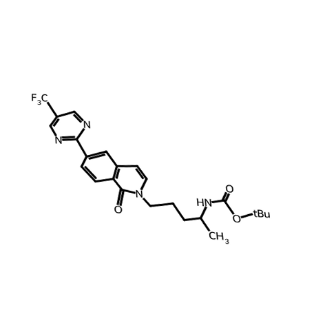 CC(CCCn1ccc2cc(-c3ncc(C(F)(F)F)cn3)ccc2c1=O)NC(=O)OC(C)(C)C